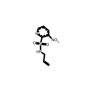 C=CCNS(=O)(=O)c1ncccc1[N+](=O)[O-]